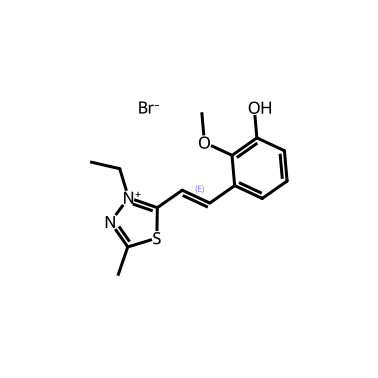 CC[n+]1nc(C)sc1/C=C/c1cccc(O)c1OC.[Br-]